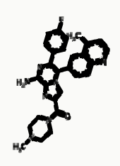 Cc1ccnc2ccc(-c3c(-c4ccc(F)cc4)nc(N)c4nc(C(=O)N5CCN(C)CC5)cn34)cc12